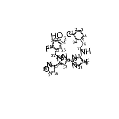 O=C(O)c1cccc(CCNc2nc(-c3cc(-c4ccon4)n(Cc4ccccc4F)n3)ncc2F)c1